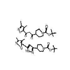 Cc1noc(-c2cc(C3CCN(C(=O)OC(C)(C)C)CC3)n[nH]2)c1C.Cc1noc(C(=O)CC(=O)C2CCN(C(=O)OC(C)(C)C)CC2)c1C